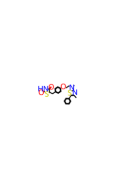 Cc1nc(N(C)CCOc2ccc(CC3SC(=O)NC3=O)cc2)sc1-c1ccccc1